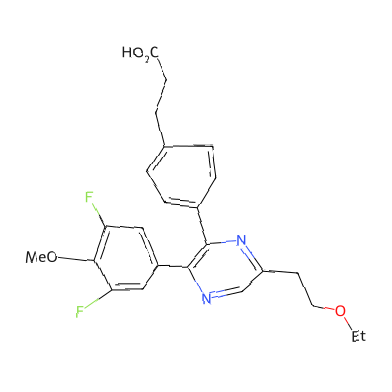 CCOCCc1cnc(-c2cc(F)c(OC)c(F)c2)c(-c2ccc(CCC(=O)O)cc2)n1